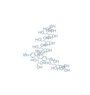 CC(C)(C)c1ccc(OC(c2ccc(C(C)(C)C)cc2C(C)(C)C)[C@H](O)[C@H](O)CO)c(C(C)(C)C)c1.OC[C@@H](O)[C@@H](O)CO.OC[C@@H](O)[C@@H](O)CO.OC[C@@H](O)[C@@H](O)CO.OC[C@@H](O)[C@@H](O)CO.OP(O)O.OP(O)O